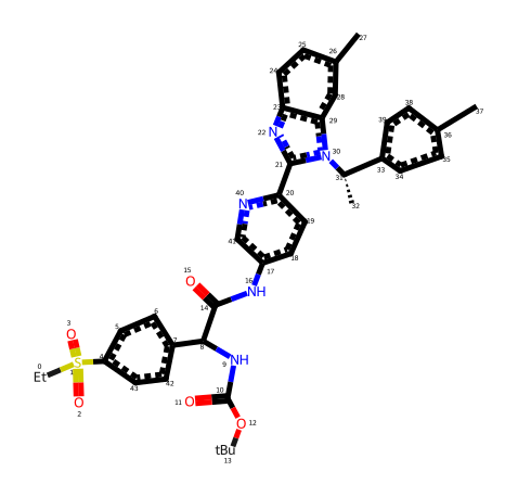 CCS(=O)(=O)c1ccc(C(NC(=O)OC(C)(C)C)C(=O)Nc2ccc(-c3nc4ccc(C)cc4n3[C@@H](C)c3ccc(C)cc3)nc2)cc1